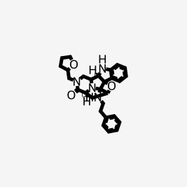 O=C1[C@@H]2CC3OC45c6ccccc6N[C@@H]4C(CN1CC1CCCO1)N2C35NCCc1ccccc1